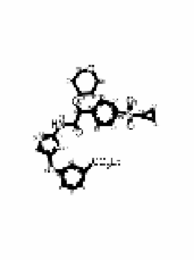 CCOC(=O)c1cccc(Oc2cnc(NC(=O)C(OC3CCOCC3)c3ccc(S(=O)(=O)C4CC4)cc3)s2)c1